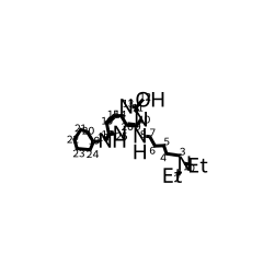 CCN(CC)CCCCCNc1nc(O)nc2ccc(NC3CCCCC3)nc12